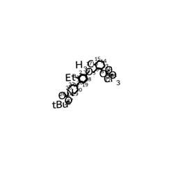 CCc1cc(OCC2=C(OS(=O)(=O)C(F)(F)F)CCCC2C)ccc1C1CCN(C(=O)OC(C)(C)C)CC1